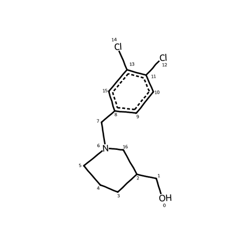 OCC1CCCN(Cc2ccc(Cl)c(Cl)c2)C1